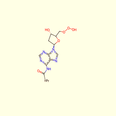 CCCC(=O)Nc1ncnc2c1ncn2[C@H]1C[C@H](O)C(COOO)O1